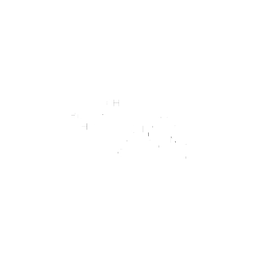 CC(C)(C)CC(C)(C)CCC(C)(C)CC(=O)ON1C(=O)CCC1=O